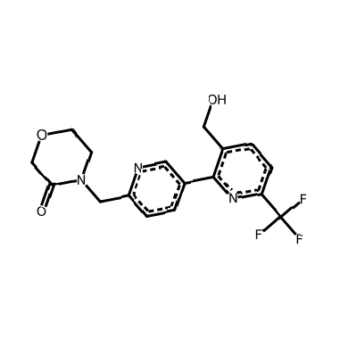 O=C1COCCN1Cc1ccc(-c2nc(C(F)(F)F)ccc2CO)cn1